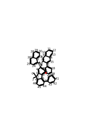 CC1(C)c2cc(N(c3cc4ccccc4cc3-c3ccccc3)c3cccc4ccccc34)ccc2-c2c(-c3ccccc3)cccc21